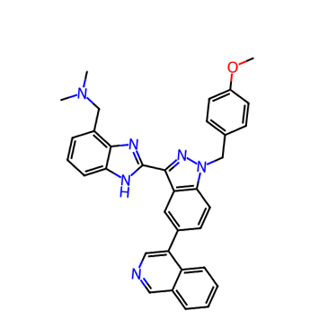 COc1ccc(Cn2nc(-c3nc4c(CN(C)C)cccc4[nH]3)c3cc(-c4cncc5ccccc45)ccc32)cc1